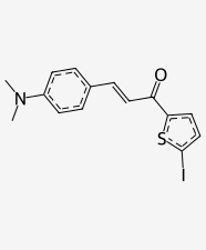 CN(C)c1ccc(C=CC(=O)c2ccc(I)s2)cc1